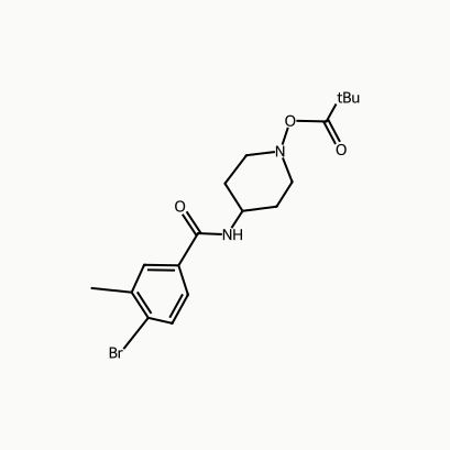 Cc1cc(C(=O)NC2CCN(OC(=O)C(C)(C)C)CC2)ccc1Br